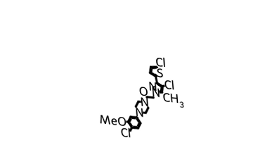 COc1cc(N2CCN(C(=O)Cn3nc(-c4ccc(Cl)s4)c(Cl)c3C)CC2)ccc1Cl